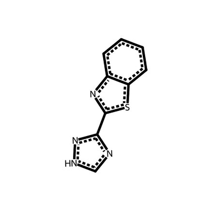 c1ccc2sc(-c3nc[nH]n3)nc2c1